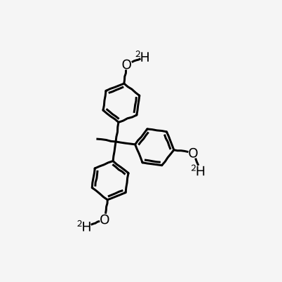 [2H]Oc1ccc(C(C)(c2ccc(O[2H])cc2)c2ccc(O[2H])cc2)cc1